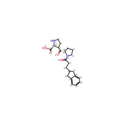 O=C(C1CCN[C@@H]1C(O)=S)[C@@H]1CCCN1C(=O)CCC1Cc2ccccc2C1